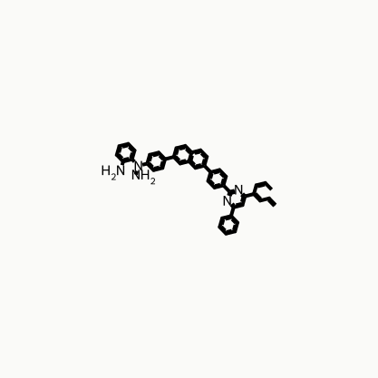 C=C/C=C(\C=C/C)c1cc(-c2ccccc2)nc(-c2ccc(-c3ccc4ccc(-c5ccc(N(N)c6ccccc6N)cc5)cc4c3)cc2)n1